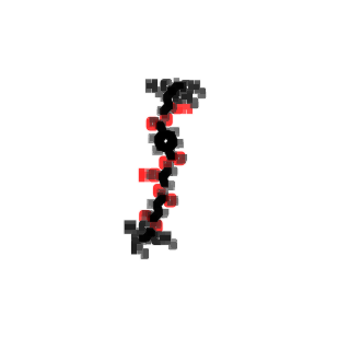 CCC(C)(C)CC(O)COC(=O)c1ccc(C(=O)OCC(O)COC(=O)CCC(=O)OC(C)(C)CC)cc1